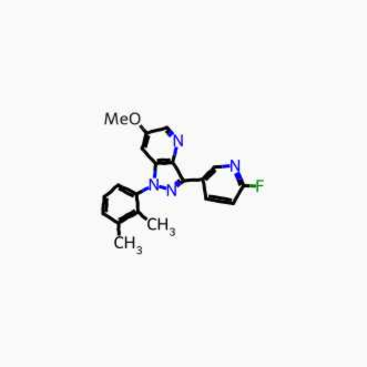 COc1cnc2c(-c3ccc(F)nc3)nn(-c3cccc(C)c3C)c2c1